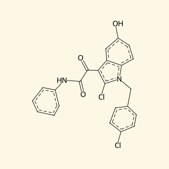 O=C(Nc1ccccc1)C(=O)c1c(Cl)n(Cc2ccc(Cl)cc2)c2ccc(O)cc12